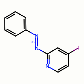 Ic1ccnc(/N=N/c2ccccc2)c1